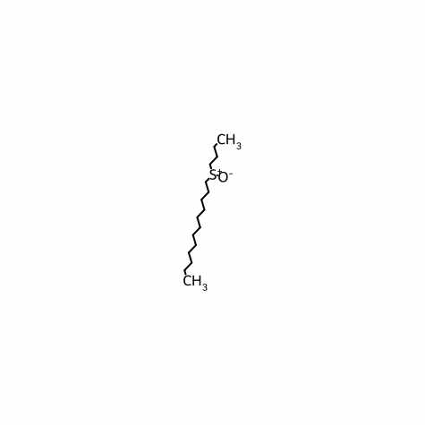 CCCCCCCCCCCC[S+]([O-])CCCC